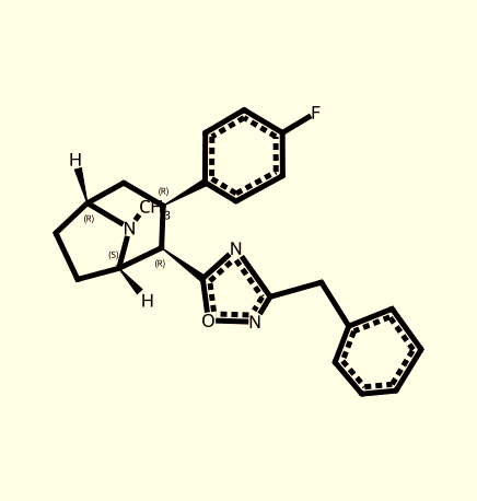 CN1[C@@H]2CC[C@H]1[C@H](c1nc(Cc3ccccc3)no1)[C@H](c1ccc(F)cc1)C2